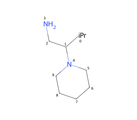 CC(C)C(CN)N1CCCCC1